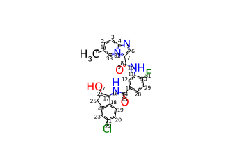 Cc1ccc2ncc(C(=O)Nc3cc(C(=O)N[C@H]4c5ccc(Cl)cc5C[C@H]4O)ccc3F)n2c1